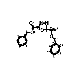 O=C(OCc1ccccc1)C1NNC(C(=O)OCc2ccccc2)O1